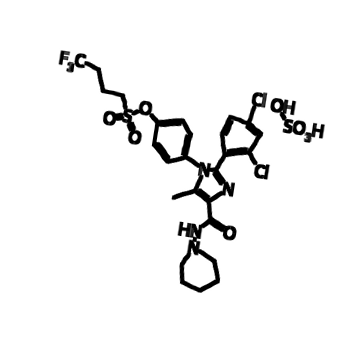 Cc1c(C(=O)NN2CCCCC2)nc(-c2ccc(Cl)cc2Cl)n1-c1ccc(OS(=O)(=O)CCCC(F)(F)F)cc1.O=S(=O)(O)O